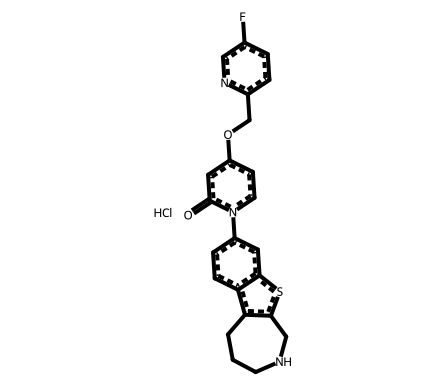 Cl.O=c1cc(OCc2ccc(F)cn2)ccn1-c1ccc2c3c(sc2c1)CNCCC3